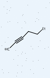 [CH]C#CCCCC